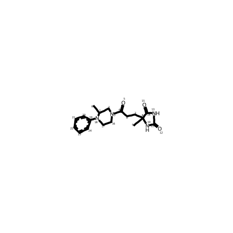 CC1CN(C(=O)CCC2(C)NC(=O)NC2=O)CCN1c1ccccc1